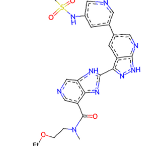 CCOCCN(C)C(=O)c1cncc2[nH]c(-c3n[nH]c4ncc(-c5cncc(NS(C)(=O)=O)c5)cc34)nc12